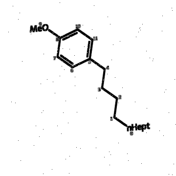 CCCCCCCCCCCc1ccc(OC)cc1